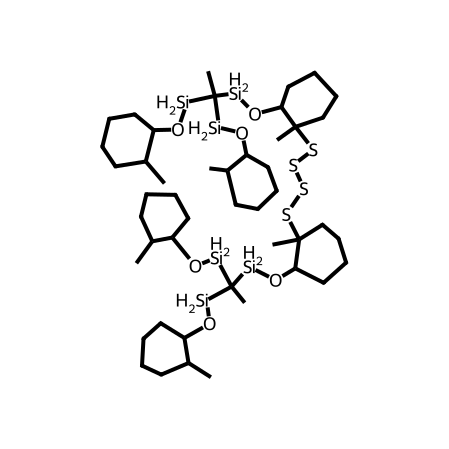 CC1CCCCC1O[SiH2]C(C)([SiH2]OC1CCCCC1C)[SiH2]OC1CCCCC1(C)SSSSC1(C)CCCCC1O[SiH2]C(C)([SiH2]OC1CCCCC1C)[SiH2]OC1CCCCC1C